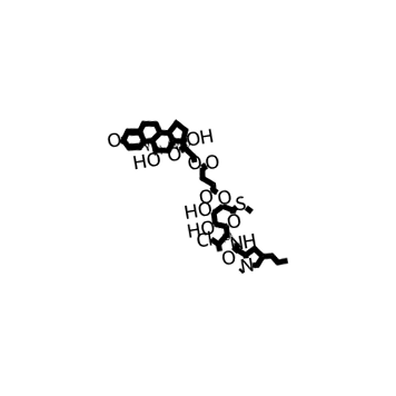 CCCC1CC(C(=O)N[C@H](C(C)Cl)C2OC(SC)C(OC(=O)CCC(=O)OCC(=O)[C@@]3(O)CCC4C5CCC6=CC(=O)C=C[C@]6(C)C5[C@@H](O)C[C@@]43C)C(O)C2O)N(C)C1